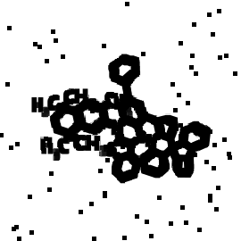 Cc1cc2c(cc1N1c3cc(-c4ccccc4)cc4c3B(c3c1sc1ccccc31)N1c3ccccc3C3(c5ccccc5-c5ccccc53)c3cccc-4c31)C(C)(C)CCC2(C)C